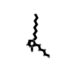 CCCCCCCCN1C=CN(C)C1CCCCC